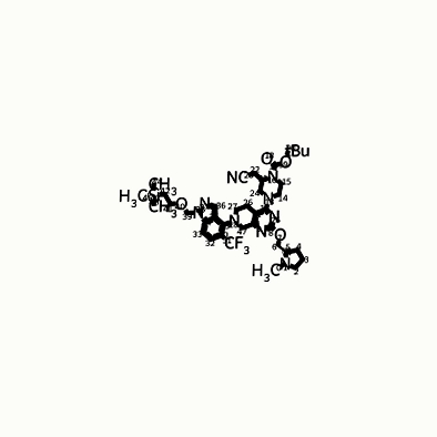 CN1CCC[C@@H]1COc1nc2c(c(N3CCN(C(=O)OC(C)(C)C)C(CC#N)C3)n1)CCN(c1c(C(F)(F)F)ccc3c1cnn3COCC[Si](C)(C)C)C2